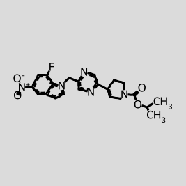 CC(C)OC(=O)N1CC=C(c2cnc(Cn3ccc4cc([N+](=O)[O-])cc(F)c43)cn2)CC1